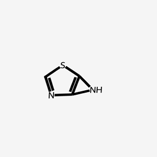 c1nc2c(s1)N2